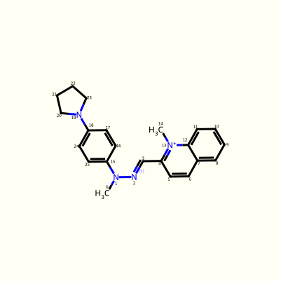 CN(/N=C/c1ccc2ccccc2[n+]1C)c1ccc(N2CCCC2)cc1